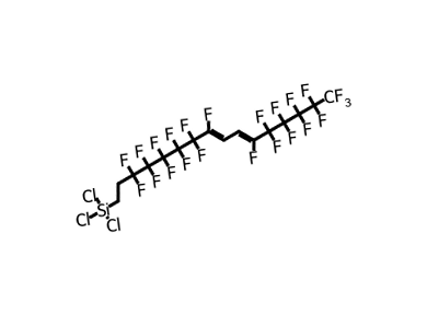 FC(=CC=C(F)C(F)(F)C(F)(F)C(F)(F)C(F)(F)C(F)(F)CC[Si](Cl)(Cl)Cl)C(F)(F)C(F)(F)C(F)(F)C(F)(F)C(F)(F)F